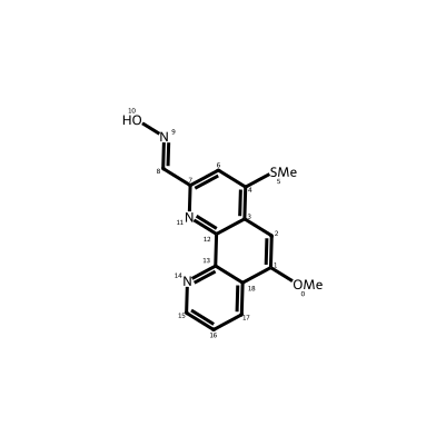 COc1cc2c(SC)cc(C=NO)nc2c2ncccc12